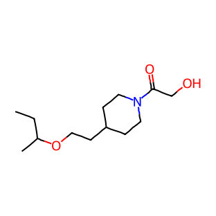 CCC(C)OCCC1CCN(C(=O)CO)CC1